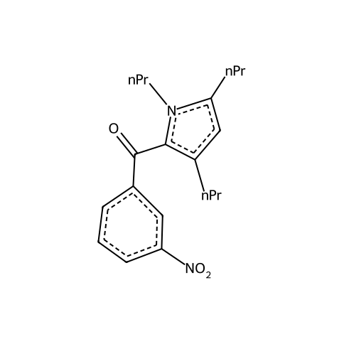 CCCc1cc(CCC)n(CCC)c1C(=O)c1cccc([N+](=O)[O-])c1